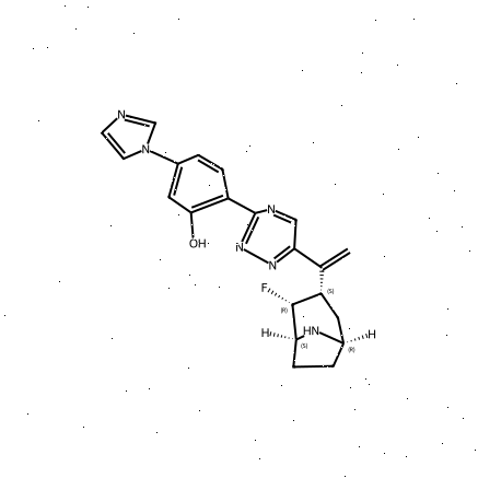 C=C(c1cnc(-c2ccc(-n3ccnc3)cc2O)nn1)[C@@H]1C[C@H]2CC[C@H](N2)[C@@H]1F